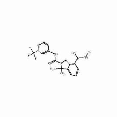 CC1(C)c2cccc(C(O)NO)c2CN1C(=O)Nc1ccnc(C(F)(F)F)c1